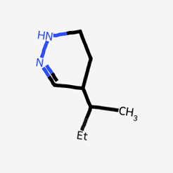 CCC(C)C1C=NNCC1